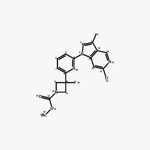 Cc1nn(-c2cccc(C3(F)CN(C(=O)OC(C)(C)C)C3)n2)c2cc(Cl)ncc12